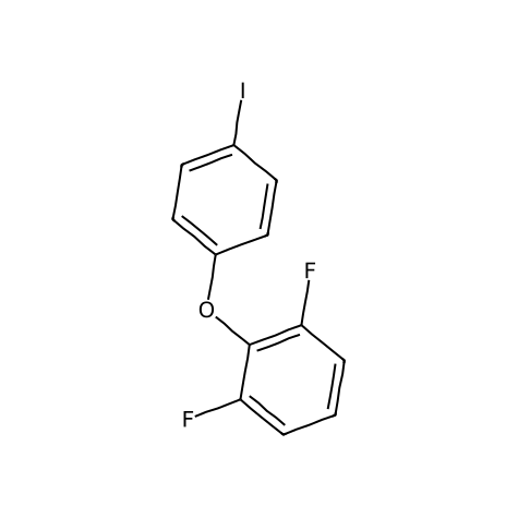 Fc1cccc(F)c1Oc1ccc(I)cc1